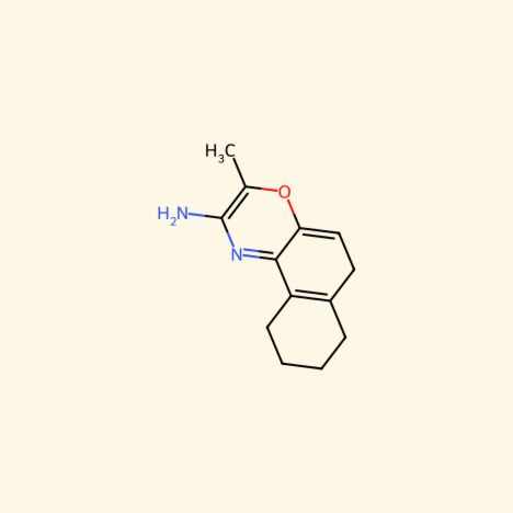 CC1=C(N)N=C2C(=CCC3=C2CCCC3)O1